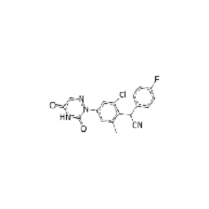 Cc1cc(-n2ncc(=O)[nH]c2=O)cc(Cl)c1C(C#N)c1ccc(F)cc1